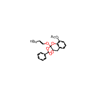 CCCCC=COC1(OC(=O)c2ccccc2)Oc2c(cccc2OC(C)=O)CC1=O